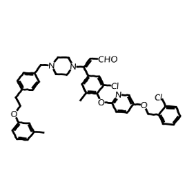 Cc1cccc(OCCc2ccc(CN3CCN(/C(=C/C=O)c4cc(C)c(Oc5ccc(OCc6ccccc6Cl)cn5)c(Cl)c4)CC3)cc2)c1